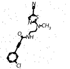 CN(CCNC(=O)C#Cc1cccc(Cl)c1)c1ncc(C#N)s1